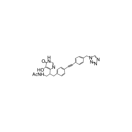 CC(=O)NCC(Cc1ccc(C#Cc2ccc(Cn3cnnn3)cc2)cc1)c1nc[nH]c(=O)c1O